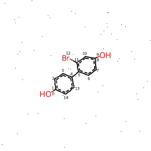 Oc1ccc(-c2ccc(O)cc2Br)cc1